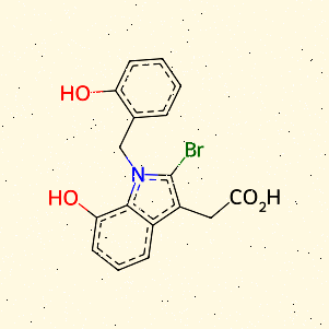 O=C(O)Cc1c(Br)n(Cc2ccccc2O)c2c(O)cccc12